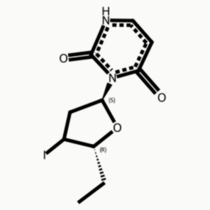 CC[C@H]1O[C@H](n2c(=O)cc[nH]c2=O)CC1I